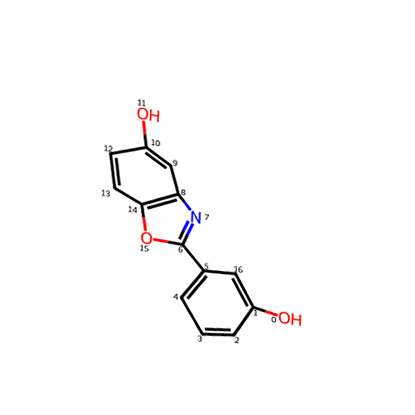 Oc1cccc(-c2nc3cc(O)ccc3o2)c1